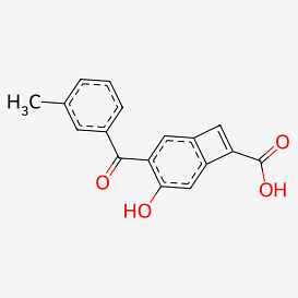 Cc1cccc(C(=O)c2cc3c(cc2O)C(C(=O)O)=C3)c1